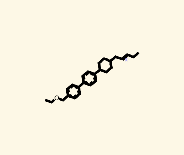 CC/C=C/CC1CCC(c2ccc(-c3ccc(COCC)cc3)cc2)CC1